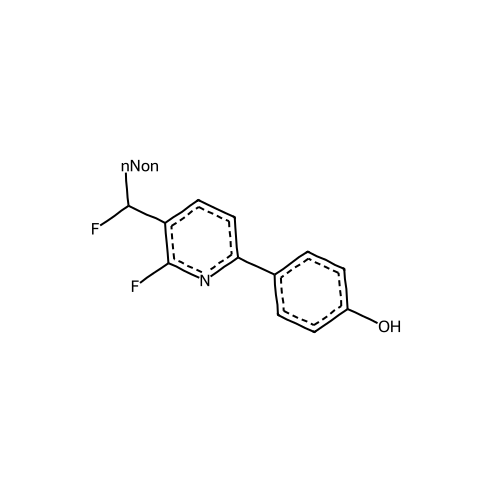 CCCCCCCCCC(F)c1ccc(-c2ccc(O)cc2)nc1F